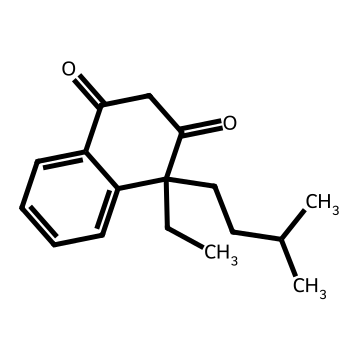 CCC1(CCC(C)C)C(=O)CC(=O)c2ccccc21